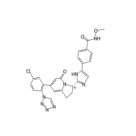 CONC(=O)c1ccc(-c2cnc([C@@H]3CCc4cc(-c5cc(Cl)ccc5-n5cnnn5)cc(=O)n43)[nH]2)cc1